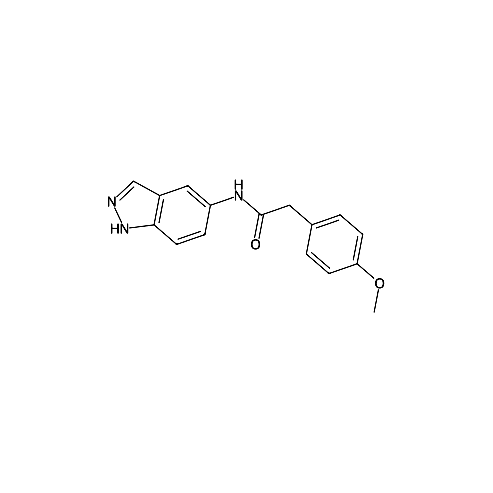 COc1ccc(CC(=O)Nc2ccc3[nH]ncc3c2)cc1